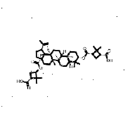 C=C(C)[C@@H]1CC[C@]2(C(=O)NC3C[C@H](C(=O)O)C3(C)C)CC[C@]3(C)[C@H](CC[C@@H]4[C@@]5(C)CC[C@H](OC(=O)[C@H]6C[C@@H](C(=O)O)C6(C)C)C(C)(C)[C@@H]5CC[C@]43C)[C@@H]12